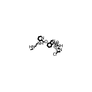 CCNCCNc1cccnc1COc1cccc2c1cnn2S(=O)(=O)Nc1ncc(Cl)s1